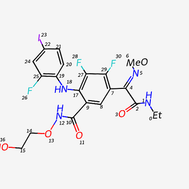 CCNC(=O)/C(=N/OC)c1cc(C(=O)NOCCO)c(Nc2ccc(I)cc2F)c(F)c1F